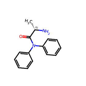 C[C@H](N)C(=O)N(c1ccccc1)c1ccccc1